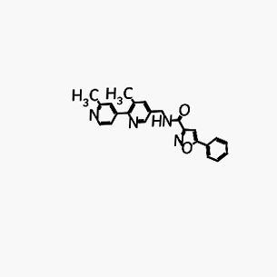 Cc1cc(-c2ncc(CNC(=O)c3cc(-c4ccccc4)on3)cc2C)ccn1